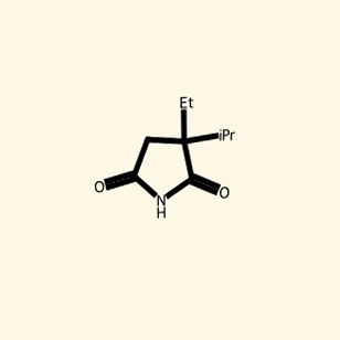 CCC1(C(C)C)CC(=O)NC1=O